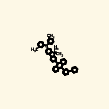 Cc1cccc(N(c2cccc(C)c2)c2ccc3c(c2)C(C)(C)c2cc(-c4c5ccccc5c(-c5cccc(-c6ccccc6)c5)c5ccccc45)ccc2-3)c1